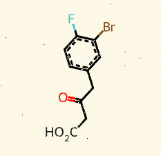 O=C(O)CC(=O)Cc1ccc(F)c(Br)c1